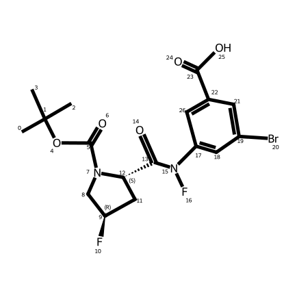 CC(C)(C)OC(=O)N1C[C@H](F)C[C@H]1C(=O)N(F)c1cc(Br)cc(C(=O)O)c1